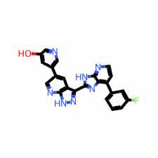 Oc1cncc(-c2cnc3[nH]nc(-c4nc5c(-c6cccc(F)c6)ccnc5[nH]4)c3c2)c1